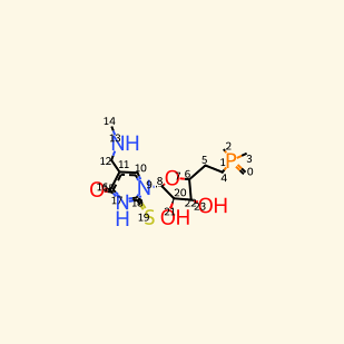 C=P(C)(C)CCC1O[C@@H](n2cc(CNC)c(=O)[nH]c2=S)[C@H](O)[C@@H]1O